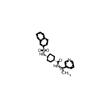 C[C@@H](NC(=O)[C@H]1CC[C@H](NS(=O)(=O)c2ccc3ccccc3c2)CC1)c1cccnc1